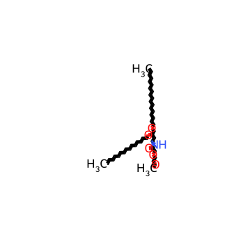 CCCCCCCCCCCCCCCCCCOCC(CCNC(=O)COCCOC)OCCCCCCCCCCCCCCCC